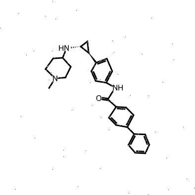 CN1CCC(N[C@@H]2C[C@H]2c2ccc(NC(=O)c3ccc(-c4ccccc4)cc3)cc2)CC1